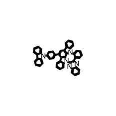 c1ccc2nc3c(nc2c1)c1ccccc1n1c2ccccc2c2cc(-c4ccc(-n5c6ccccc6c6ccccc65)cc4)c4c5ccccc5n3c4c21